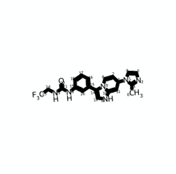 Cc1nccn1C1C=CN2C(=C1)NC=C2c1cccc(NC(=O)NCC(F)(F)F)c1